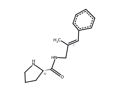 C/C(=C\c1ccccc1)CNC(=O)[C@@H]1CCCN1